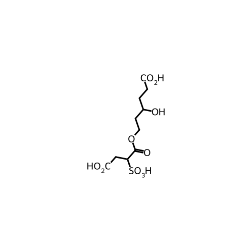 O=C(O)CCC(O)CCOC(=O)C(CC(=O)O)S(=O)(=O)O